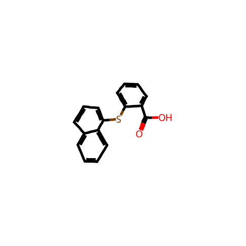 O=C(O)c1ccccc1Sc1cccc2ccccc12